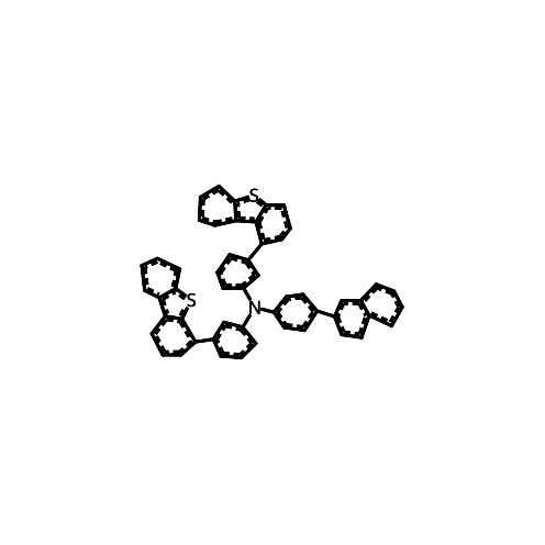 c1cc(-c2cccc3c2sc2ccccc23)cc(N(c2ccc(-c3ccc4ccccc4c3)cc2)c2cccc(-c3cccc4sc5ccccc5c34)c2)c1